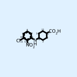 O=C(O)C1CCC(Nc2cccc(Cl)c2[N+](=O)[O-])CC1